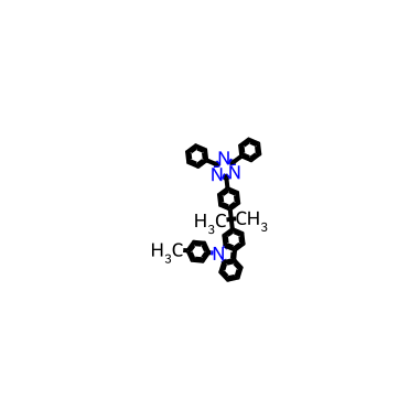 Cc1ccc(-n2c3ccccc3c3ccc(C(C)(C)c4ccc(-c5nc(-c6ccccc6)nc(-c6ccccc6)n5)cc4)cc32)cc1